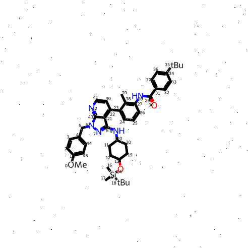 COc1ccc(Cn2nc(NC3CCC(O[Si](C)(C)C(C)(C)C)CC3)c3c(-c4cccc(NC(=O)c5ccc(C(C)(C)C)cc5)c4C)ccnc32)cc1